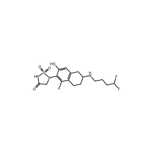 O=C1CN(c2c(O)cc3c(c2F)CCC(NCCCC(F)F)C3)S(=O)(=O)N1